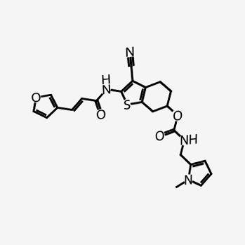 Cn1cccc1CNC(=O)OC1CCc2c(sc(NC(=O)C=Cc3ccoc3)c2C#N)C1